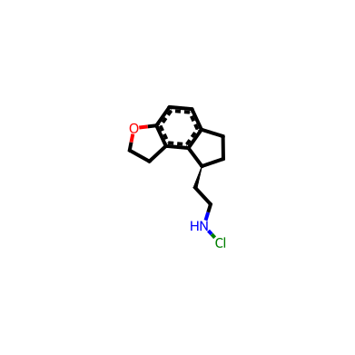 ClNCC[C@@H]1CCc2ccc3c(c21)CCO3